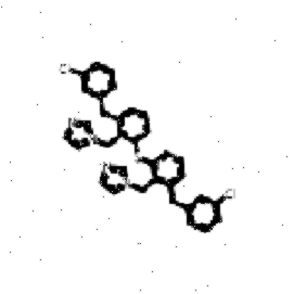 Clc1cccc(Cc2cccc(Sc3cccc(Cc4cccc(Cl)c4)c3Cn3ccnc3)c2Cn2ccnc2)c1